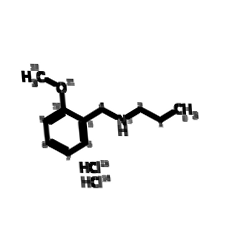 CCCNCc1ccccc1OC.Cl.Cl